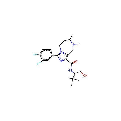 CC1CCn2c(-c3ccc(F)c(F)c3)nc(C(=O)N[C@H](CO)C(C)(C)C)c2CN1C